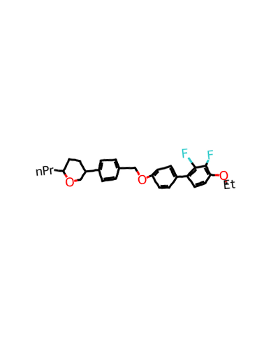 CCCC1CCC(c2ccc(COc3ccc(-c4ccc(OCC)c(F)c4F)cc3)cc2)CO1